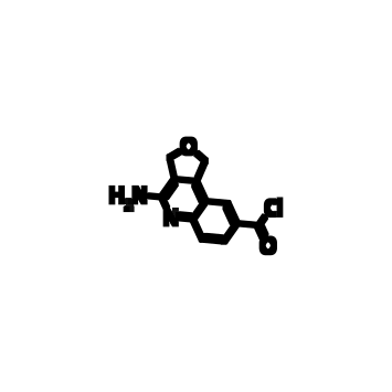 Nc1nc2ccc(C(=O)Cl)cc2c2c1COC2